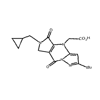 CC(C)(C)c1cc2n(CC(=O)O)c3c(c(=O)n2n1)CN(CC1CC1)C3=O